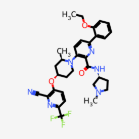 CCOc1ccccc1-c1ccc(N2CC[C@@H](Oc3ccc(C(F)(F)F)nc3C#N)C[C@H]2C)c(C(=O)N[C@@H]2CCN(C)C2)n1